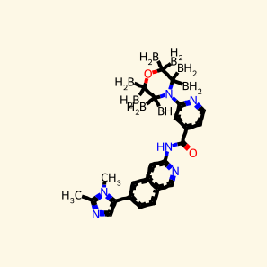 BC1(B)OC(B)(B)C(B)(B)N(c2cc(C(=O)Nc3cc4cc(-c5cnc(C)n5C)ccc4cn3)ccn2)C1(B)B